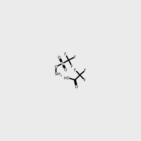 O=C(O)C(F)(F)F.O=S(=O)(O[SiH3])C(F)(F)F